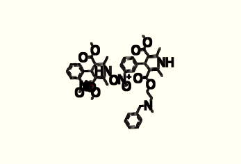 COC(=O)C1=C(C)NC(C)=C(C(=O)OC)C1c1ccccc1[N+](=O)[O-].COC(=O)C1=C(C)NC(C)=C(C(=O)OCCN(C)Cc2ccccc2)C1c1cccc([N+](=O)[O-])c1